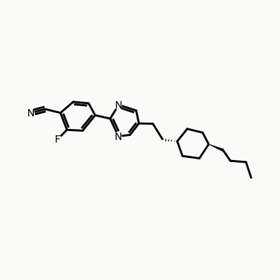 CCCC[C@H]1CC[C@H](CCc2cnc(-c3ccc(C#N)c(F)c3)nc2)CC1